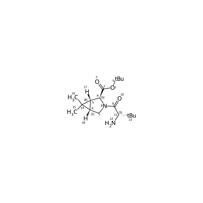 CC(C)(C)OC(=O)[C@@H]1[C@@H]2[C@H](CN1C(=O)[C@@H](N)C(C)(C)C)C2(C)C